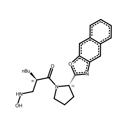 CCCC[C@H](CNO)C(=O)N1CCC[C@H]1c1nc2cc3ccccc3cc2o1